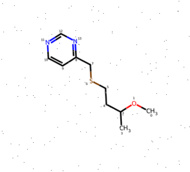 COC(C)CCSCc1ccncn1